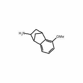 COc1cccc2c1C1CC(N)C2C1